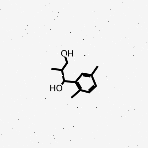 Cc1ccc(C)c(C(O)C(C)CO)c1